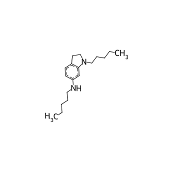 CCCCCNc1ccc2c(c1)N(CCCCC)CC2